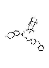 O=C(CCCN1CCC(Sc2ccccc2)CC1)c1ccc2c(c1)CCNCC2.O=C(O)C(F)(F)F.O=C(O)C(F)(F)F